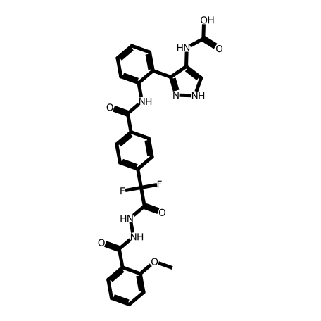 COc1ccccc1C(=O)NNC(=O)C(F)(F)c1ccc(C(=O)Nc2ccccc2-c2n[nH]cc2NC(=O)O)cc1